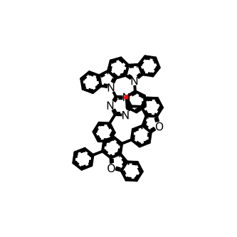 c1ccc(-c2nc(-c3cccc4oc5ccc(-c6ccc(-c7ccccc7)c7oc8ccccc8c67)cc5c34)nc(-n3c4ccccc4c4ccc5c6ccccc6n(-c6ccccc6)c5c43)n2)cc1